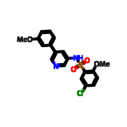 COc1cccc(-c2cncc(NS(=O)(=O)c3cc(Cl)ccc3OC)c2)c1